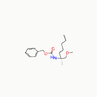 CCCCC[C@@](C)(COC)NC(=O)OCc1ccccc1